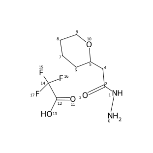 NNC(=O)CC1CCCCO1.O=C(O)C(F)(F)F